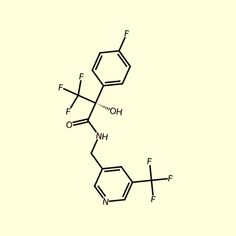 O=C(NCc1cncc(C(F)(F)F)c1)[C@](O)(c1ccc(F)cc1)C(F)(F)F